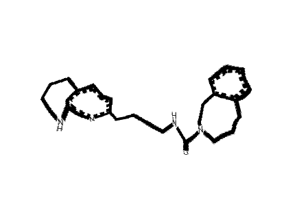 O=C(NCCCc1ccc2c(n1)NCCC2)N1CCCc2ccccc2C1